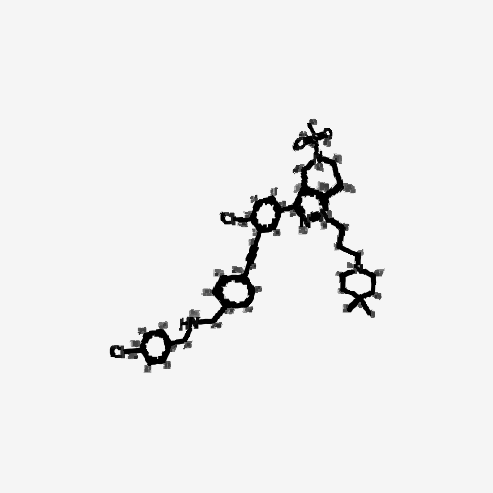 CC1(C)CCN(CCCn2nc(-c3ccc(Cl)c(C#Cc4ccc(CNCc5ccc(Cl)cc5)cc4)c3)c3c2CCN(S(C)(=O)=O)C3)CC1